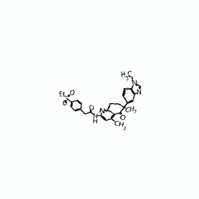 CCS(=O)(=O)c1ccc(CC(=O)Nc2cc(C)c3c(n2)CCC(C)(c2ccc4c(c2)ncn4C)C3=O)cc1